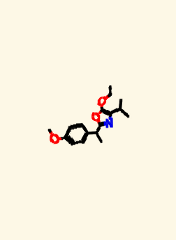 CCOc1oc(C(C)c2ccc(OC)cc2)nc1C(C)C